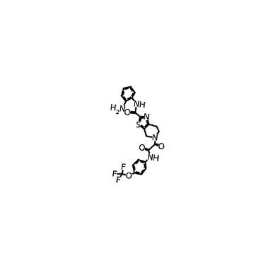 Nc1ccccc1NC(=O)c1nc2c(s1)CN(C(=O)C(=O)Nc1ccc(OC(F)(F)F)cc1)CC2